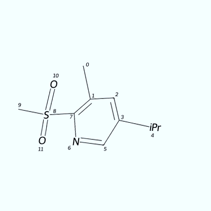 Cc1cc(C(C)C)cnc1S(C)(=O)=O